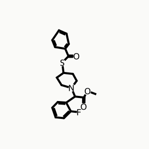 COC(=O)C(c1ccccc1F)N1CCC(SC(=O)c2ccccc2)CC1